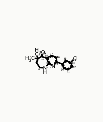 CC1(C)CCNc2nc(-c3cccc(Cl)c3)ccc2C1=O